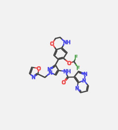 O=C(Nc1cn(Cc2ncco2)nc1-c1cc2c(cc1OC(F)F)NCCO2)c1cnn2cccnc12